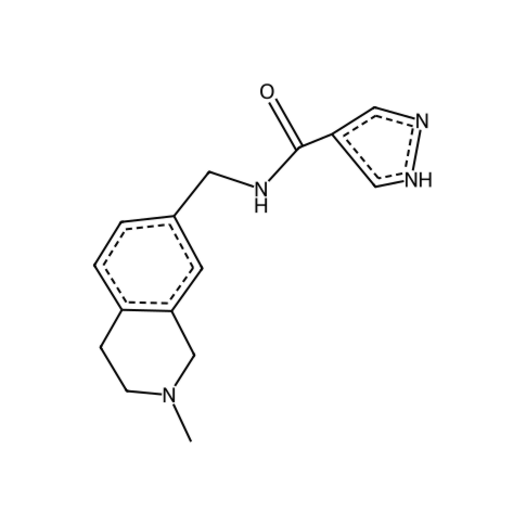 CN1CCc2ccc(CNC(=O)c3cn[nH]c3)cc2C1